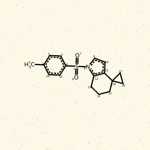 Cc1ccc(S(=O)(=O)n2ccc3c2CCCC32CC2)cc1